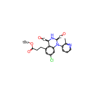 Cc1ncccc1N1C(=C=O)NC(=C=O)c2c(CCC(=O)OC(C)(C)C)cc(Cl)cc21